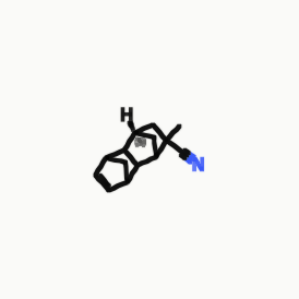 CC1(C#N)C[C@@H]2CC1C1C3C=CC(C3)C12